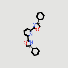 C1=CCC([C@H]2COC(c3cccc(C4=N[C@@H](C5C=CC=CC5)CO4)n3)=N2)C=C1